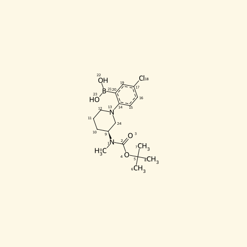 CN(C(=O)OC(C)(C)C)[C@H]1CCCN(c2ccc(Cl)cc2B(O)O)C1